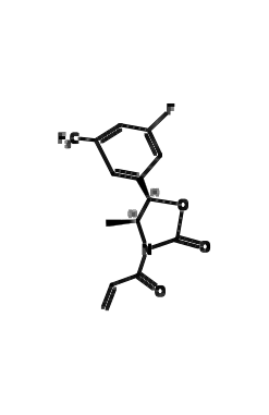 C=CC(=O)N1C(=O)O[C@H](c2cc(F)cc(C(F)(F)F)c2)[C@@H]1C